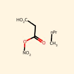 CCCC.O=C(O)CC(=O)O[N+](=O)[O-]